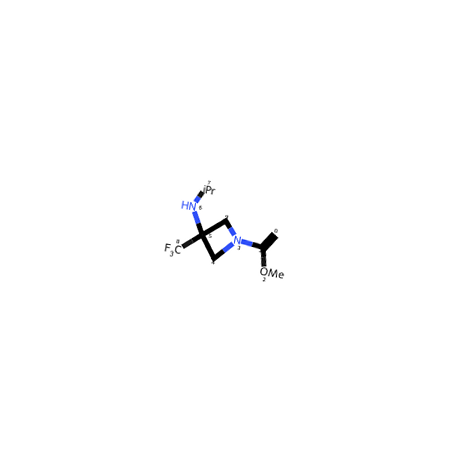 C=C(OC)N1CC(NC(C)C)(C(F)(F)F)C1